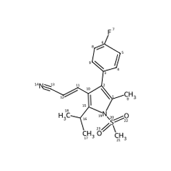 Cc1c(-c2ccc(F)cc2)c(/C=C/C#N)c(C(C)C)n1S(C)(=O)=O